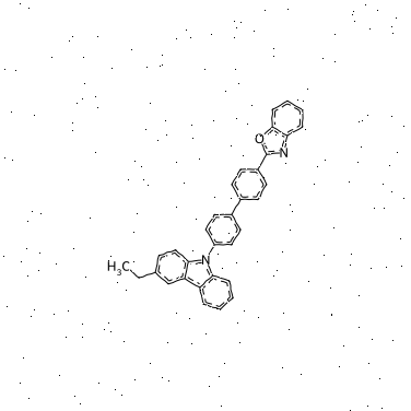 CCc1ccc2c(c1)c1ccccc1n2-c1ccc(-c2ccc(-c3nc4ccccc4o3)cc2)cc1